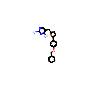 Nc1ncc(Cc2ccc(-c3ccc(OCc4ccccc4)cc3)s2)c(N)n1